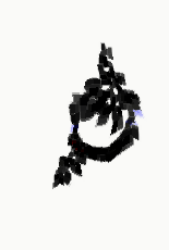 C/C1=C/C=C/[C@H](C)[C@H](O)[C@@H](C)[C@@H](O)[C@@H](C)[C@H](OC(=O)CC(=O)OC2CCN(C)C2)[C@H](C)[C@@H](C)/C=C/O[C@@]2(C)Oc3c(C)c(O)c4c(c3C2=O)C2=NC3(CCN(CC(C)I)CC3)NC2=C(NC1=O)C4=O